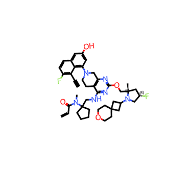 C#Cc1c(F)ccc2cc(O)cc(N3CCc4c(nc(OC[C@]5(C)C[C@@H](F)CN5C5CC6(CCOCC6)C5)nc4NCC4(N(C)C(=O)C=C)CCCC4)C3)c12